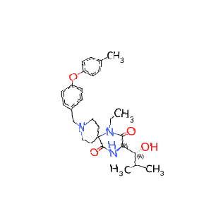 CCN1C(=O)[C@@H]([C@H](O)C(C)C)NC(=O)C12CCN(Cc1ccc(Oc3ccc(C)cc3)cc1)CC2